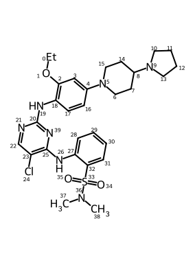 CCOc1cc(N2CCC(N3CCCC3)CC2)ccc1Nc1ncc(Cl)c(Nc2ccccc2S(=O)(=O)N(C)C)n1